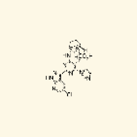 O=C(O)[C@H]1C2CCC(CC2)[C@@H]1Nc1nc(-c2n[nH]c3ncc(Cl)cc23)nc(-n2ccnc2)c1F